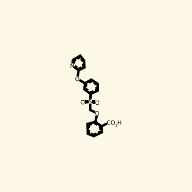 O=C(O)c1ccccc1OCS(=O)(=O)c1cccc(Oc2ccccn2)c1